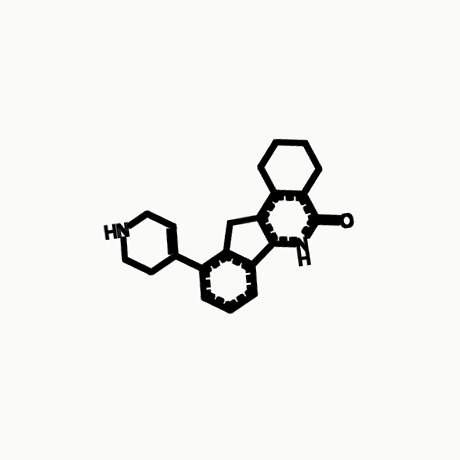 O=c1[nH]c2c(c3c1CCCC3)Cc1c(C3=CCNCC3)cccc1-2